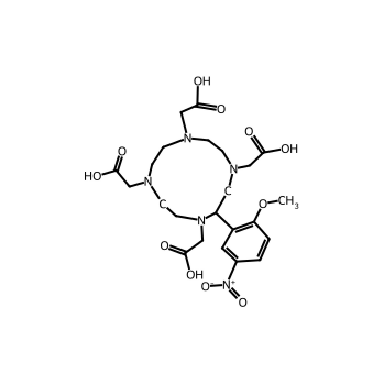 COc1ccc([N+](=O)[O-])cc1C1CN(CC(=O)O)CCN(CC(=O)O)CCN(CC(=O)O)CCN1CC(=O)O